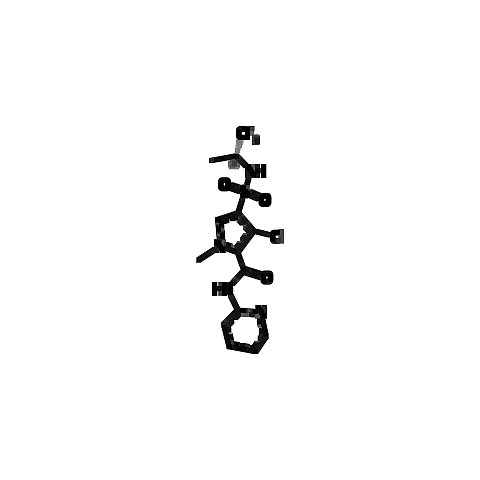 C[C@@H](NS(=O)(=O)c1cn(C)c(C(=O)Nc2ccccn2)c1Cl)C(F)(F)F